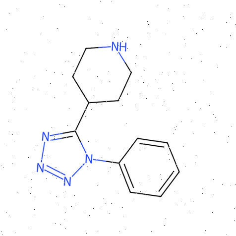 c1ccc(-n2nnnc2C2CCNCC2)cc1